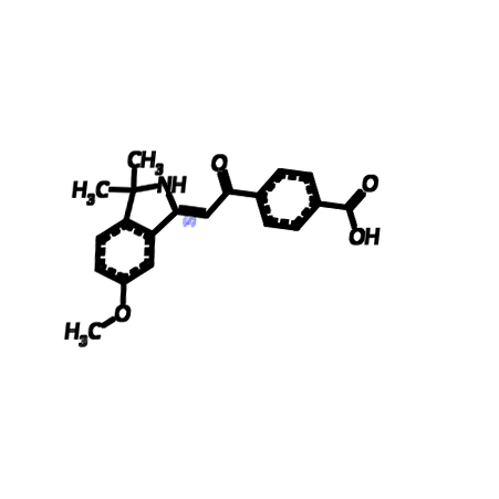 COc1ccc2c(c1)/C(=C/C(=O)c1ccc(C(=O)O)cc1)NC2(C)C